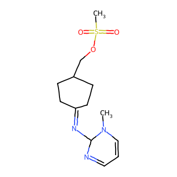 CN1C=CC=NC1N=C1CCC(COS(C)(=O)=O)CC1